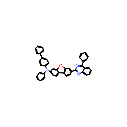 c1ccc(-c2ccc(N(c3ccccc3)c3ccc4c(c3)oc3cc(-c5nc(-c6ccccc6)c6ccccc6n5)ccc34)cc2)cc1